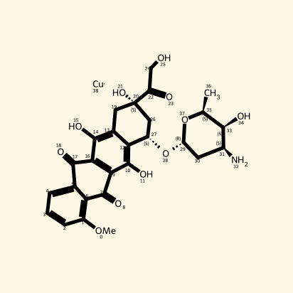 COc1cccc2c1C(=O)c1c(O)c3c(c(O)c1C2=O)C[C@@](O)(C(=O)CO)C[C@@H]3O[C@H]1C[C@H](N)[C@H](O)[C@H](C)O1.[Cu]